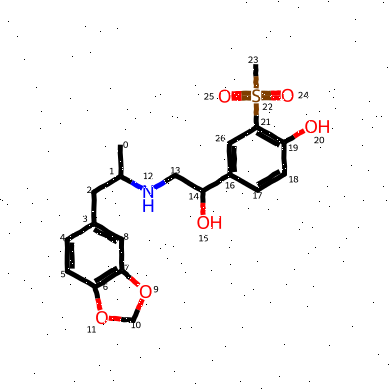 CC(Cc1ccc2c(c1)OCO2)NCC(O)c1ccc(O)c(S(C)(=O)=O)c1